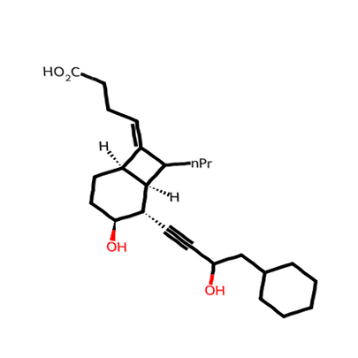 CCCC1/C(=C/CCC(=O)O)[C@@H]2CC[C@H](O)[C@@H](C#CC(O)CC3CCCCC3)[C@H]12